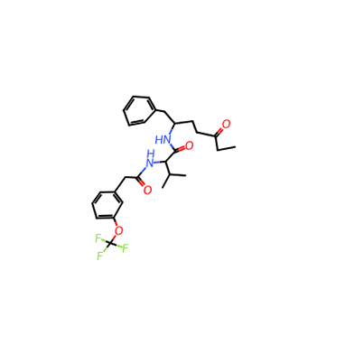 CCC(=O)CCC(Cc1ccccc1)NC(=O)C(NC(=O)Cc1cccc(OC(F)(F)F)c1)C(C)C